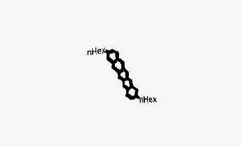 CCCCCCc1ccc2cc3cc4cc5cc(CCCCCC)ccc5cc4cc3cc2c1